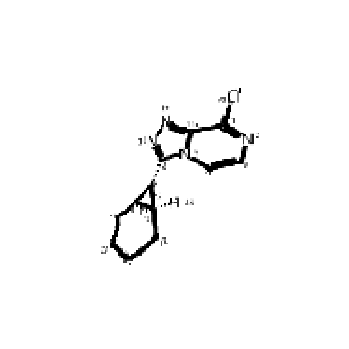 Clc1nccn2c([C@H]3[C@@H]4CCCC[C@@H]43)nnc12